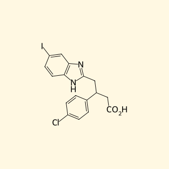 O=C(O)CC(Cc1nc2cc(I)ccc2[nH]1)c1ccc(Cl)cc1